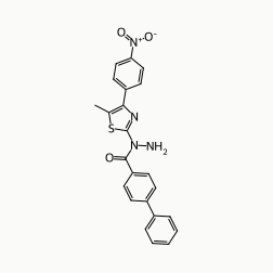 Cc1sc(N(N)C(=O)c2ccc(-c3ccccc3)cc2)nc1-c1ccc([N+](=O)[O-])cc1